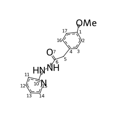 COc1ccc(CC(=O)NNc2ccccn2)cc1